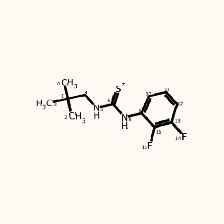 CC(C)(C)CNC(=S)Nc1cccc(F)c1F